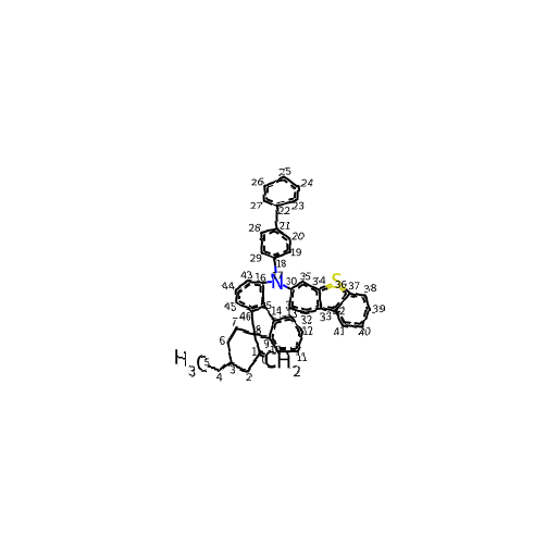 C=C1CC(CC)CCC12c1ccccc1-c1c(N(c3ccc(-c4ccccc4)cc3)c3ccc4c(c3)sc3ccccc34)cccc12